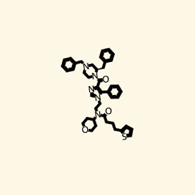 O=C(CCCc1cccs1)N(CCn1cnc(C(=O)N2CCN(Cc3ccccc3)C[C@H]2Cc2ccccc2)c1-c1ccccc1)C1CCOCC1